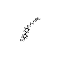 CCCCOCCCCOc1ccc(-c2ncc(O)cn2)cc1